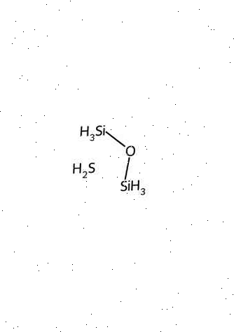 S.[SiH3]O[SiH3]